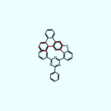 c1ccc(-c2nc(-c3ccccc3)nc(-c3cccc4sc5ccc(-c6ccccc6-c6ccccc6-c6ccccc6-c6ccccc6)cc5c34)n2)cc1